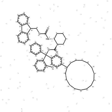 O=C(N[C@@H]1CCCC[C@H]1C(=O)OC(c1ccccc1)(c1ccc(C2CCCCCCCCCCCCCC2)cc1)c1ccccc1Cl)OCC1c2ccccc2-c2ccccc21